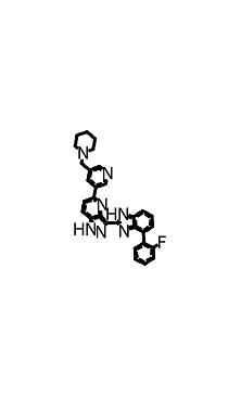 Fc1ccccc1-c1cccc2[nH]c(-c3n[nH]c4ccc(-c5cncc(CN6CCCCC6)c5)nc34)nc12